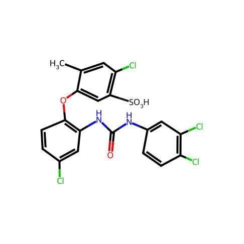 Cc1cc(Cl)c(S(=O)(=O)O)cc1Oc1ccc(Cl)cc1NC(=O)Nc1ccc(Cl)c(Cl)c1